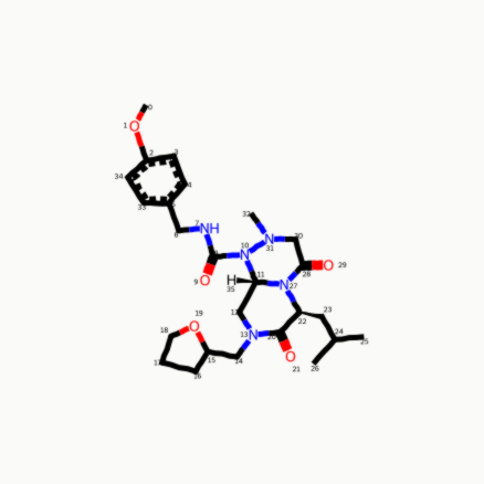 COc1ccc(CNC(=O)N2[C@H]3CN(CC4CCCO4)C(=O)[C@H](CC(C)C)N3C(=O)CN2C)cc1